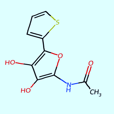 CC(=O)Nc1oc(-c2cccs2)c(O)c1O